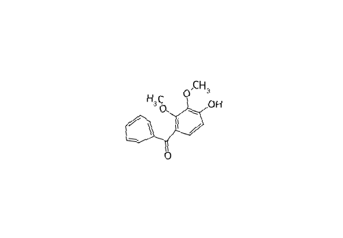 COc1c(O)ccc(C(=O)c2ccccc2)c1OC